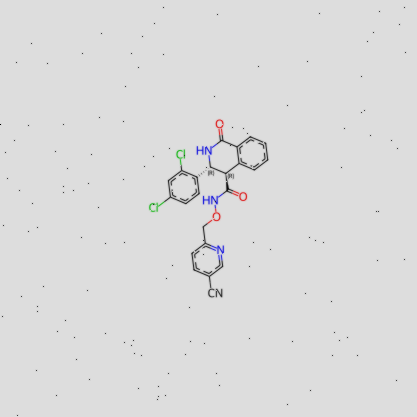 N#Cc1ccc(CONC(=O)[C@@H]2c3ccccc3C(=O)N[C@H]2c2ccc(Cl)cc2Cl)nc1